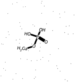 O=P(O)(O)[O][GaH2]